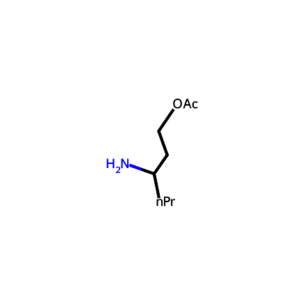 CCCC(N)CCOC(C)=O